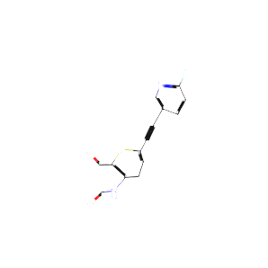 O=CNC1=C(C=O)SC(C#Cc2ccc(F)nc2)=CC1